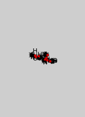 COc1ccc(Cn2nc(C3CCCNC3)c3c(Oc4ccc(C(=O)Nc5ncc(C)s5)cc4)ccnc32)cc1